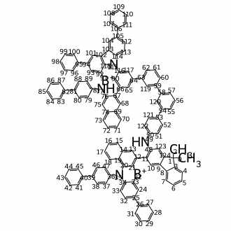 CC1(C)c2ccccc2-c2cc(-c3cc4ccccc4c4c3[b+]c3cc(-c5ccccc5)ccc3n4-c3ccc(-c4ccccc4)cc3)c(Nc3ccc(-c4cccc(-c5cccc(-c6cc(-c7cc8ccccc8cc7Nc7ccc(-c8ccccc8)cc7)c7[b+]c8cc(-c9ccccc9)cc9c%10cc(-c%11ccccc%11)ccc%10n(c7c6)c89)c5)c4)cc3)cc21